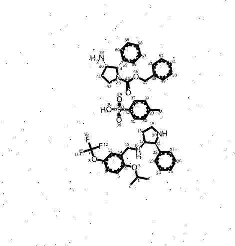 CC(C)Oc1ccc(OC(F)(F)F)cc1CN[C@H]1CCN[C@H]1c1ccccc1.Cc1ccc(S(=O)(=O)O)cc1.N[C@H]1CCN(C(=O)OCc2ccccc2)[C@H]1c1ccccc1